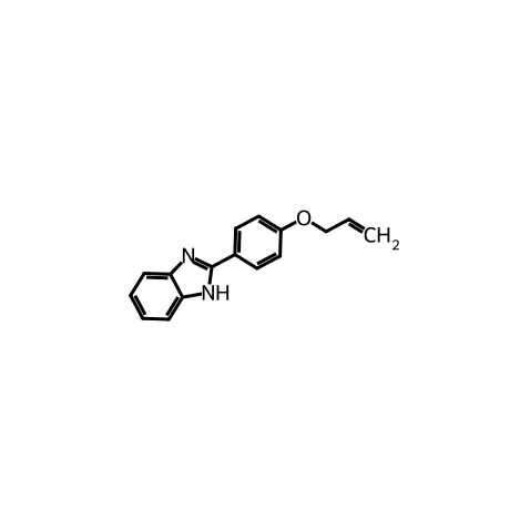 C=CCOc1ccc(-c2nc3ccccc3[nH]2)cc1